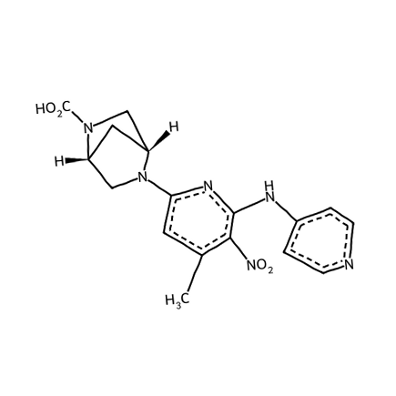 Cc1cc(N2C[C@H]3C[C@@H]2CN3C(=O)O)nc(Nc2ccncc2)c1[N+](=O)[O-]